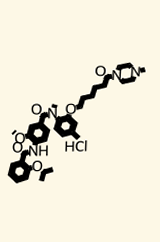 COc1cc(C(=O)N(C)c2ccc(C)cc2OCCCCCC(=O)N2CCN(C)CC2)ccc1NC(=O)c1ccccc1OC(C)C.Cl